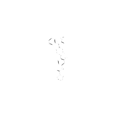 [C-]#[N+]c1cc(NC(=O)C2CCOC2)ccc1N1CCC(C(C(=O)NCC)c2ccccc2)CC1